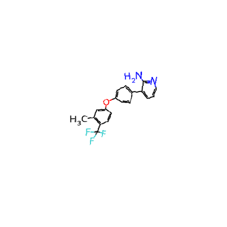 Cc1cc(Oc2ccc(-c3cccnc3N)cc2)ccc1C(F)(F)F